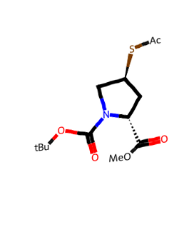 COC(=O)[C@H]1C[C@H](SC(C)=O)CN1C(=O)OC(C)(C)C